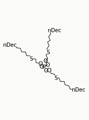 CCCCCCCCCCCCCCCCSCCOOP(OOCCSCCCCCCCCCCCCCCCC)OOCCSCCCCCCCCCCCCCCCC